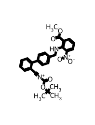 COC(=O)c1cccc([N+](=O)[O-])c1NCc1ccc(-c2ccccc2C#[N+]C(=O)OC(C)(C)C)cc1